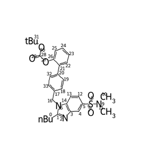 CCCCc1nc2cc(S(=O)(=O)N(C)C)ccc2n1Cc1ccc(-c2ccccc2OC(=O)OC(C)(C)C)cc1